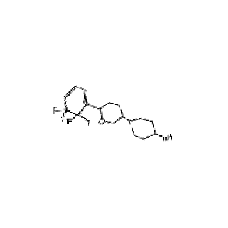 CCCC1CCC(C2CCC(C3=CC=CC(F)(F)C3(F)F)OC2)CC1